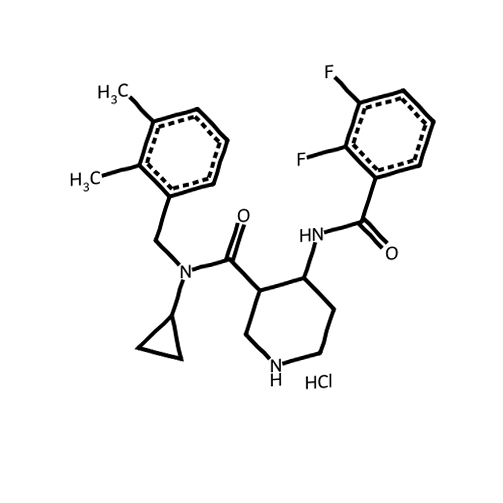 Cc1cccc(CN(C(=O)C2CNCCC2NC(=O)c2cccc(F)c2F)C2CC2)c1C.Cl